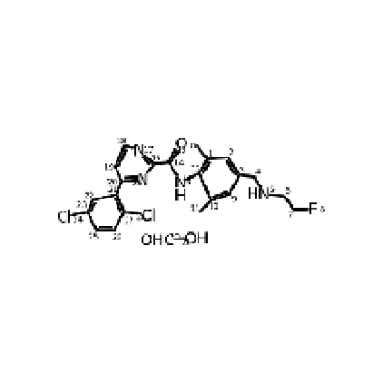 Cc1cc(CNCCF)cc(C)c1NC(=O)c1nccc(-c2cc(Cl)ccc2Cl)n1.O=CO